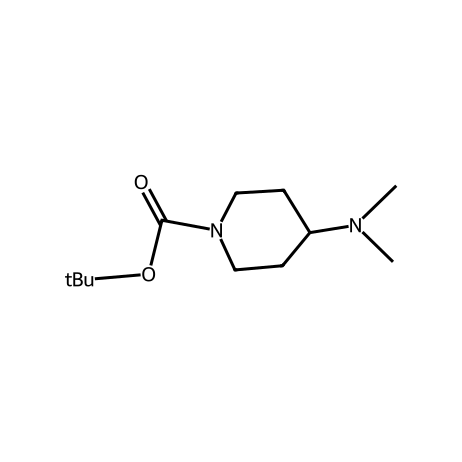 CN(C)C1CCN(C(=O)OC(C)(C)C)CC1